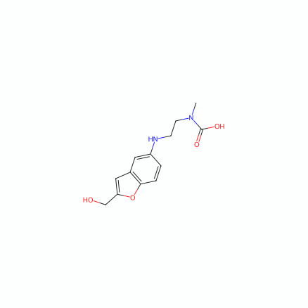 CN(CCNc1ccc2oc(CO)cc2c1)C(=O)O